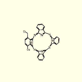 N#Cc1ccc(CCl)c2c3nc4nc(nc5[nH]c(nc6nc(nc([nH]3)c12)-c1ccccc1-6)c1ccccc51)-c1ccccc1-4